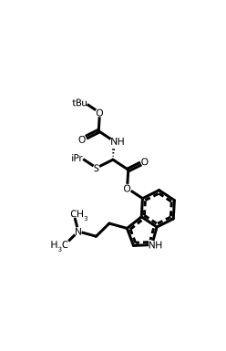 CC(C)S[C@H](NC(=O)OC(C)(C)C)C(=O)Oc1cccc2[nH]cc(CCN(C)C)c12